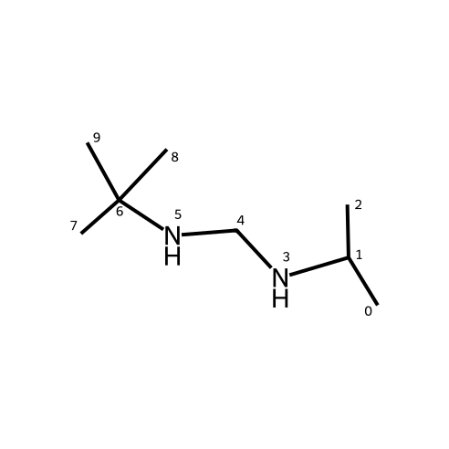 CC(C)NCNC(C)(C)C